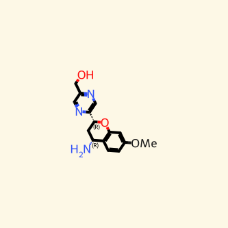 COc1ccc2c(c1)O[C@@H](c1cnc(CO)cn1)C[C@H]2N